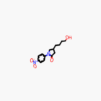 O=C1CC(CCCCO)CN1c1ccc([N+](=O)[O-])cc1